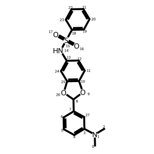 CN(C)c1cccc(C2Oc3ccc(NS(=O)(=O)c4ccccc4)cc3O2)c1